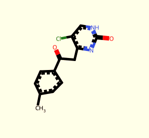 Cc1ccc(C(=O)Cc2nc(=O)[nH]cc2Cl)cc1